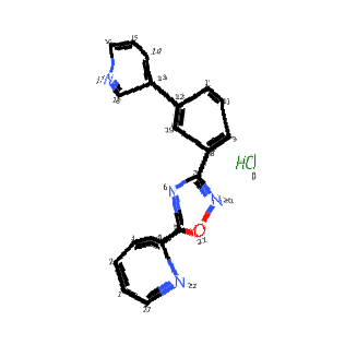 Cl.c1ccc(-c2nc(-c3cccc(-c4cccnc4)c3)no2)nc1